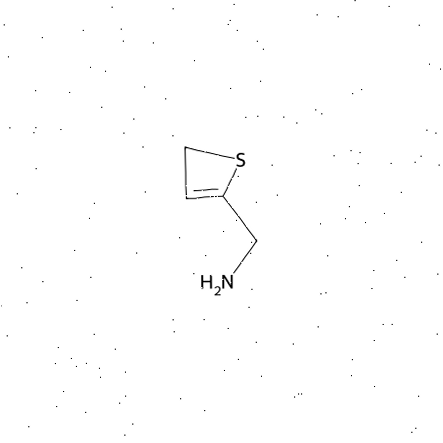 NCC1=CCS1